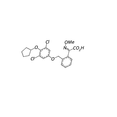 CON=C(C(=O)O)c1ccccc1COc1cc(Cl)c(OC2CCCC2)c(Cl)c1